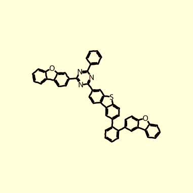 c1ccc(-c2nc(-c3ccc4c(c3)oc3ccccc34)nc(-c3ccc4c(c3)sc3ccc(-c5ccccc5-c5ccc6oc7ccccc7c6c5)cc34)n2)cc1